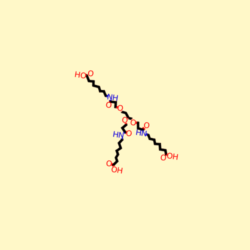 O=C(O)CCCCCCCNC(=O)CCOCCC(COCCC(=O)NCCCCCCCC(=O)O)OCCC(=O)NCCCCCCCC(=O)O